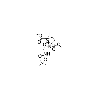 COC(=O)[C@H]1[C@@H]2CC[C@@](NC(=O)[C@H](C)NC(=O)OC(C)(C)C)(C(=O)OC)[C@@H]21